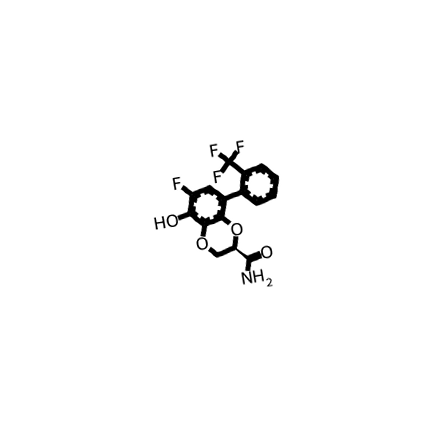 NC(=O)[C@H]1COc2c(O)c(F)cc(-c3ccccc3C(F)(F)F)c2O1